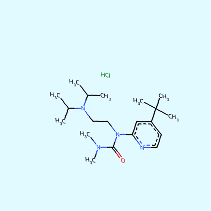 CC(C)N(CCN(C(=O)N(C)C)c1cc(C(C)(C)C)ccn1)C(C)C.Cl